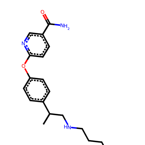 CCCCCNCC(C)c1ccc(Oc2ccc(C(N)=O)cn2)cc1